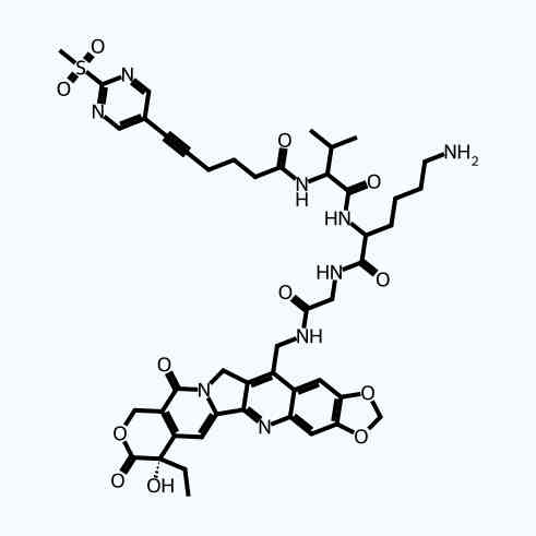 CC[C@@]1(O)C(=O)OCc2c1cc1n(c2=O)Cc2c-1nc1cc3c(cc1c2CNC(=O)CNC(=O)C(CCCCN)NC(=O)C(NC(=O)CCCC#Cc1cnc(S(C)(=O)=O)nc1)C(C)C)OCO3